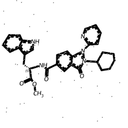 COC(=O)[C@H](Cc1c[nH]c2ccccc12)NC(=O)c1ccc2c(c1)c(=O)n(C1CCCCC1)n2-c1ccccn1